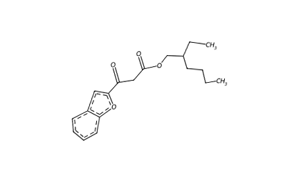 CCCCC(CC)COC(=O)CC(=O)c1cc2ccccc2o1